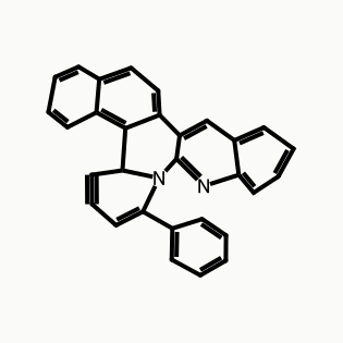 C1#CC2c3c(ccc4ccccc34)-c3cc4ccccc4nc3N2C(c2ccccc2)=C1